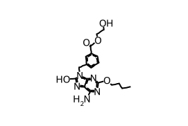 CCCCOc1nc(N)c2nc(O)n(Cc3cccc(C(=O)OCCO)c3)c2n1